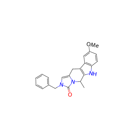 COc1ccc2[nH]c3c(c2c1)Cc1cn(Cc2ccccc2)c(=O)n1C3C